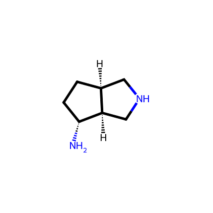 N[C@@H]1CC[C@H]2CNC[C@H]21